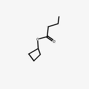 CC[CH]C(=O)OC1CCC1